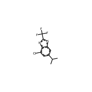 CC(C)c1cc(Cl)c2nc(C(F)(F)F)sc2c1